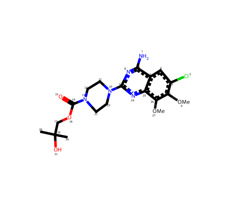 COc1c(Cl)cc2c(N)nc(N3CCN(C(=O)OCC(C)(C)O)CC3)nc2c1OC